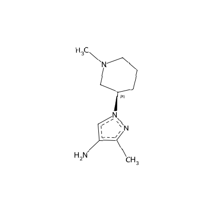 Cc1nn([C@@H]2CCCN(C)C2)cc1N